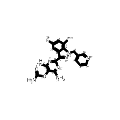 NC(=O)Oc1c(N)nc(-c2nn(Cc3cccnc3)c3c(F)cc(F)cc23)nc1N